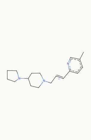 Cc1ccc(/C=C/CN2CCC(N3CCCC3)CC2)nc1